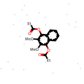 CCC(=O)Oc1c(OC)c(OC)c(OC(=O)CC)c2ccccc12